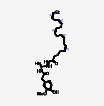 CC/C=C\C/C=C\C/C=C\C/C=C\C/C=C\CCCC(=O)NNC(=N)NC(=O)Cc1ccc(O)c(OC)c1